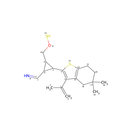 C=C(C)c1c(C2C(C=N)C2COS)sc2c1CC(C)(C)CC2